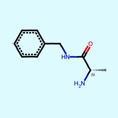 C[C@H](N)C(=O)NCc1cc[c]cc1